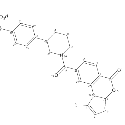 Cc1ccc2oc(=O)c3ccc(C(=O)N4CCCC(c5ccc(CC(=O)O)cc5)C4)cc3n12